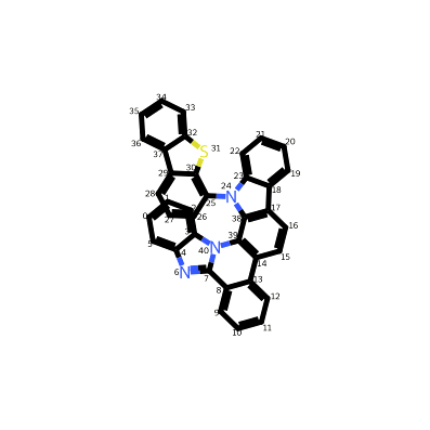 c1ccc2c(c1)nc1c3ccccc3c3ccc4c5ccccc5n(-c5cccc6c5sc5ccccc56)c4c3n21